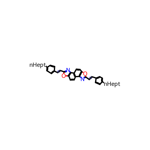 CCCCCCCc1ccc(/C=C/c2nc3c(ccc4c3ccc3oc(/C=C/c5ccc(CCCCCCC)cc5)nc34)o2)cc1